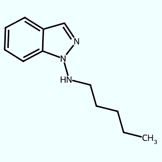 CCCCCNn1ncc2ccccc21